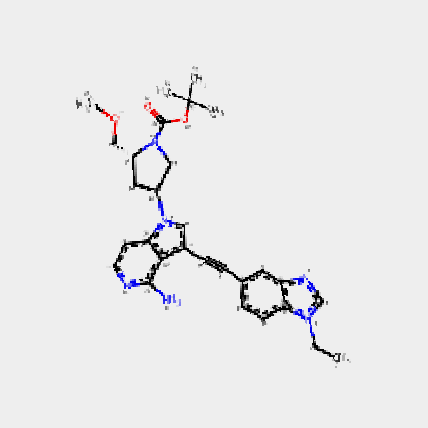 CCn1cnc2cc(C#Cc3cn([C@H]4C[C@H](COC)N(C(=O)OC(C)(C)C)C4)c4ccnc(N)c34)ccc21